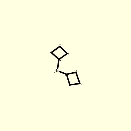 C1CC([N]C2CCC2)C1